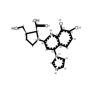 O=C(O)[C@@H]1[C@H](CO)CCN1c1cc(-n2ccnc2)c2ccc(Cl)c(Cl)c2n1